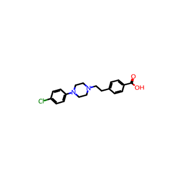 O=C(O)c1ccc(CCN2CCN(c3ccc(Cl)cc3)CC2)cc1